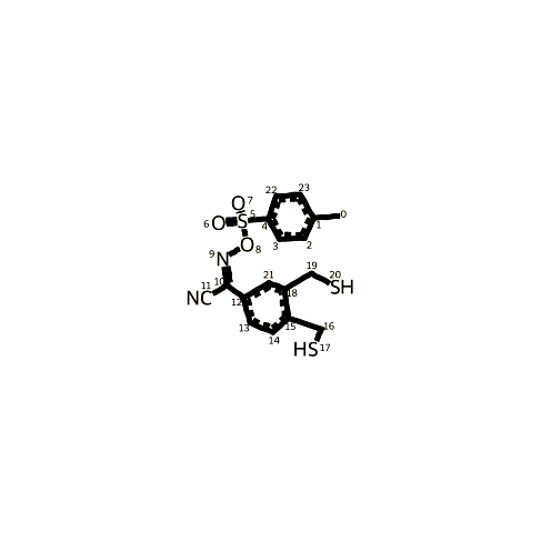 Cc1ccc(S(=O)(=O)ON=C(C#N)c2ccc(CS)c(CS)c2)cc1